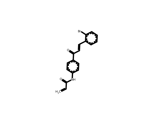 C=CC(=O)Nc1ccc(C(=O)C=Cc2ccccc2Br)cc1